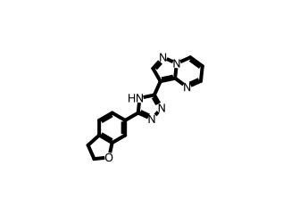 c1cnc2c(-c3nnc(-c4ccc5c(c4)OCC5)[nH]3)cnn2c1